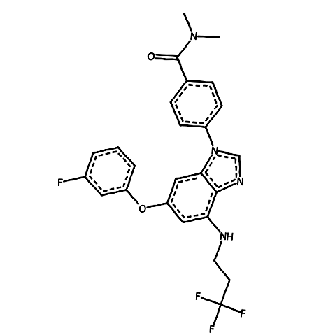 CN(C)C(=O)c1ccc(-n2cnc3c(NCCC(F)(F)F)cc(Oc4cccc(F)c4)cc32)cc1